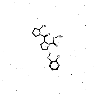 CC(C)(C)OC(=O)N1C(C(=O)N2CCC[C@H]2C#N)CC[C@H]1COc1cccnc1Cl